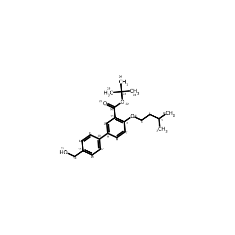 CC(C)CCOc1ccc(-c2ccc(CO)cc2)cc1C(=O)OC(C)(C)C